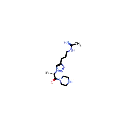 CCC(C)[C@@H](C(=O)N1CCNCC1)n1cc(CCCNC(C)=N)nn1